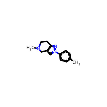 Cc1ccc(-n2cc3c(n2)CCN(C)C3)cc1